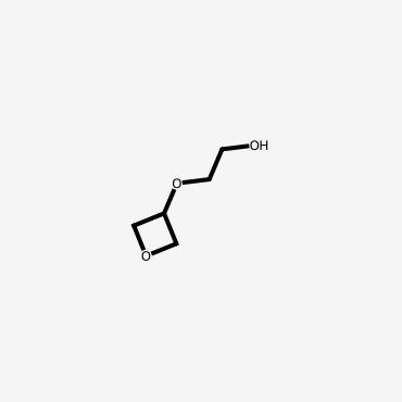 OCCOC1COC1